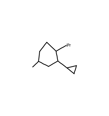 CC1CCC(C(C)C)C(C2CC2)C1